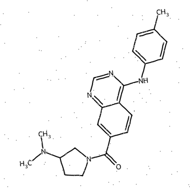 Cc1ccc(Nc2ncnc3cc(C(=O)N4CCC(N(C)C)C4)ccc23)cc1